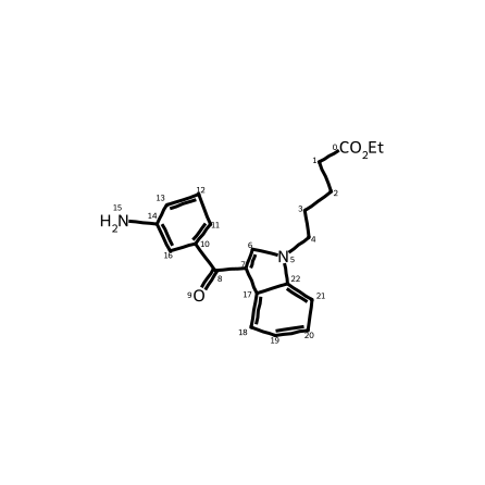 CCOC(=O)CCCCn1cc(C(=O)c2cccc(N)c2)c2ccccc21